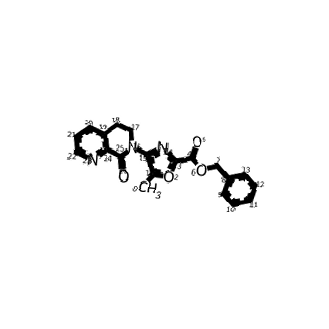 Cc1oc(C(=O)OCc2ccccc2)nc1N1CCc2cccnc2C1=O